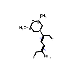 C[C@@H]1CN(/C(=C/C=C(/N)CF)CF)C[C@H](C)O1